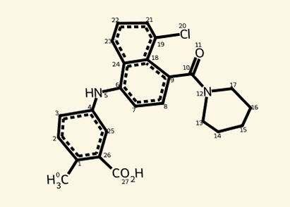 Cc1ccc(Nc2ccc(C(=O)N3CCCCC3)c3c(Cl)cccc23)cc1C(=O)O